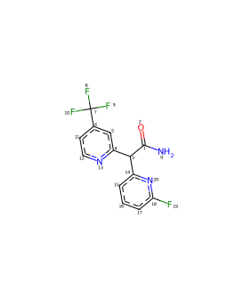 NC(=O)C(c1cc(C(F)(F)F)ccn1)c1cccc(F)n1